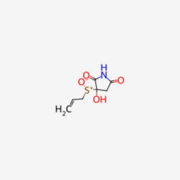 C=CC[S+]([O-])C1(O)CC(=O)NC1=O